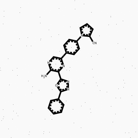 N#Cc1cccn1-c1ccc(-c2cnc(N)c(-c3nnc(-c4ccccc4)o3)n2)cc1